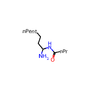 CCCCCCCC(N)NC(=O)CCC